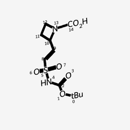 CC(C)(C)OC(=O)NS(=O)(=O)/C=C/C1CCN1C(=O)O